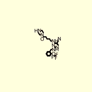 N#Cc1cnc(NCc2ccccc2OC(F)(F)F)nc1NCCCCC(=O)N1CCNCC1